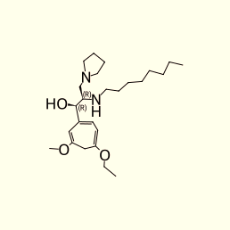 CCCCCCCCN[C@H](CN1CCCC1)[C@H](O)C1=CC=C(OCC)CC(OC)=C1